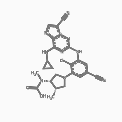 C[C@H]1CN(c2cc(C#N)cc(Nc3nc(NC4CC4)c4ncc(C#N)n4n3)c2Cl)C[C@H]1N(C)C(=O)O